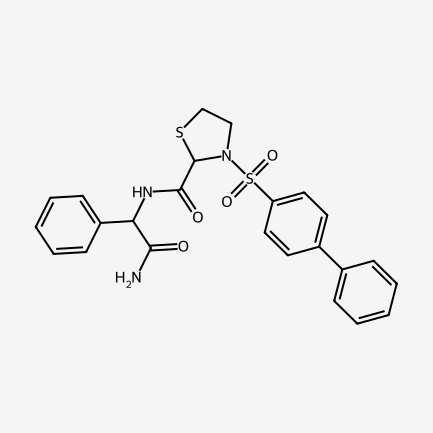 NC(=O)C(NC(=O)C1SCCN1S(=O)(=O)c1ccc(-c2ccccc2)cc1)c1ccccc1